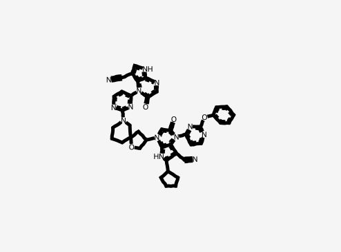 N#Cc1c[nH]c2ncc(=O)n(-c3ccnc(N4CCCC5(CC([n+]6cc(=O)n(-c7ccnc(Oc8ccccc8)n7)c7c(C#N)c(C8CCCC8)[nH]c76)CO5)C4)n3)c12